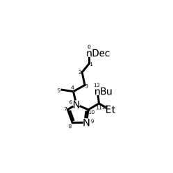 CCCCCCCCCCCCCC(C)n1ccnc1C(CC)CCCC